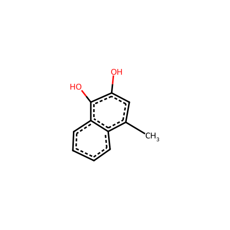 Cc1cc(O)c(O)c2ccccc12